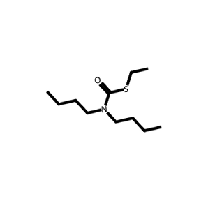 CCCCN(CCCC)C(=O)SCC